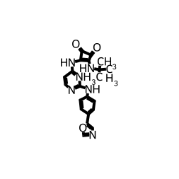 CC(C)(C)Nc1c(Nc2ccnc(Nc3ccc(-c4cnco4)cc3)n2)c(=O)c1=O